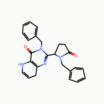 O=C1CCC(c2nc3c(c(=O)n2Cc2ccccc2)NC=CC3)N1Cc1ccccc1